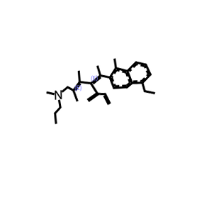 C=CC(=C)C(/C(C)=C(\C)CN(C)CCC)=C(/C)c1ccc2c(CC)cccc2c1C